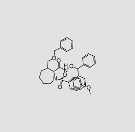 COc1ccc(S(=O)(=O)N2CCCCC(COCc3ccccc3)C2C(=O)NOC(c2ccccc2)c2ccccc2)cc1